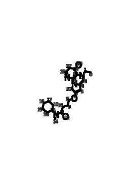 CCN1C=C2C=C(OCCCC(=O)N(C)C3CCCCC3)CN2C2=C1C(=O)CC=N2